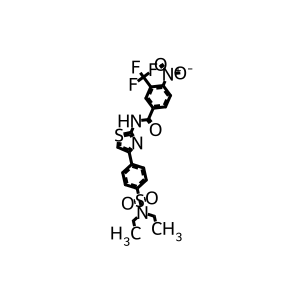 CCN(CC)S(=O)(=O)c1ccc(-c2csc(NC(=O)c3ccc([N+](=O)[O-])c(C(F)(F)F)c3)n2)cc1